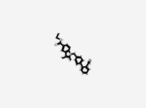 CCOC(=O)c1ccc2c(c1)c(C)c(C)n2Cc1ccc(-c2ccccc2C#N)cc1